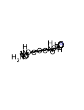 CC(C)[C@H](NC(=O)OCCOCCOCCOCCNC(=O)OC[C@@H]1[C@@H]2CC/C=C\CC[C@@H]21)C(N)=O